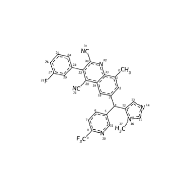 Cc1cc(C(c2ccc(C(F)(F)F)nc2)c2cncn2C)cc2c(C#N)c(-c3cccc(F)c3)c(C#N)nc12